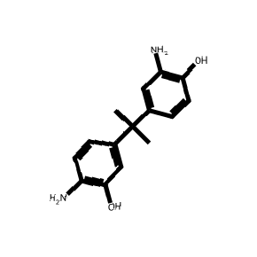 CC(C)(c1ccc(O)c(N)c1)c1ccc(N)c(O)c1